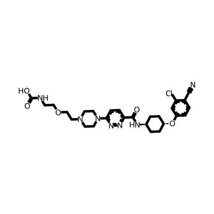 N#Cc1ccc(O[C@H]2CC[C@H](NC(=O)c3ccc(N4CCN(CCOCCNC(=O)O)CC4)nn3)CC2)cc1Cl